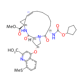 COC(=O)[C@@]12CC1/C=C\CCCCC[C@H](NC(=O)OC1CCCC1)C(=O)N1C[C@H](Oc3cc(C(=O)O)nc4c(SC)cccc34)C[C@H]1C(=O)N2